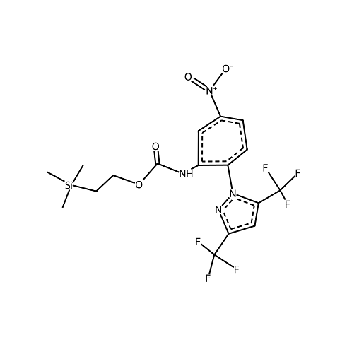 C[Si](C)(C)CCOC(=O)Nc1cc([N+](=O)[O-])ccc1-n1nc(C(F)(F)F)cc1C(F)(F)F